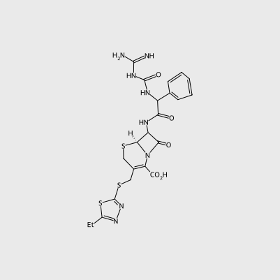 CCc1nnc(SCC2=C(C(=O)O)N3C(=O)C(NC(=O)C(NC(=O)NC(=N)N)c4ccccc4)[C@@H]3SC2)s1